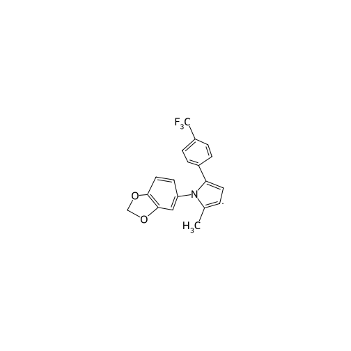 Cc1[c]cc(-c2ccc(C(F)(F)F)cc2)n1-c1ccc2c(c1)OCO2